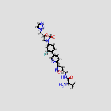 CC(C)[C@@H](N)C(=O)NC[C@@H]1CC(c2ccc(-c3ccc(N4C[C@H](Cn5ccnn5)OC4=O)cc3F)cn2)=NO1